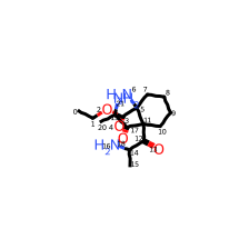 CCOC(=O)C1(N)CCCCC1(C(=O)C(C)N)C(=O)C(C)N